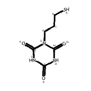 O=c1[nH]c(=O)n(CCCS)c(=O)[nH]1